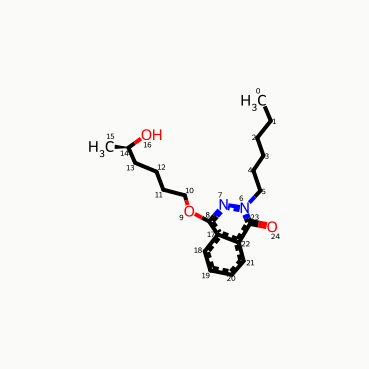 CCCCCCn1nc(OCCCC[C@@H](C)O)c2ccccc2c1=O